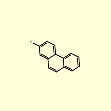 Fc1ccc2c(ccc3ccccc32)c1